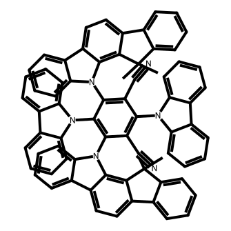 CC1(C)c2ccccc2-c2ccc3c4ccccc4n(-c4c(C#N)c(-n5c6ccccc6c6ccccc65)c(C#N)c(-n5c6ccccc6c6ccc7c(c65)C(C)(C)c5ccccc5-7)c4-n4c5ccccc5c5ccccc54)c3c21